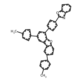 Cc1ccc(-c2ccc3oc4c(-c5ccc(-c6nc7ccccc7o6)cc5)cc(-c5ccc(C)cc5)cc4c3c2)cc1